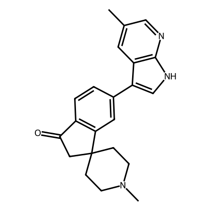 Cc1cnc2[nH]cc(-c3ccc4c(c3)C3(CCN(C)CC3)CC4=O)c2c1